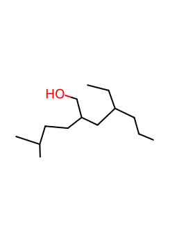 CCCC(CC)CC(CO)CCC(C)C